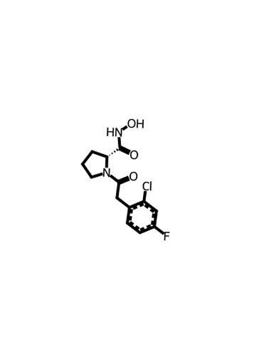 O=C(NO)[C@H]1CCCN1C(=O)Cc1ccc(F)cc1Cl